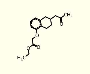 CCOC(=O)COc1cccc2c1CCC(CC(C)=O)C2